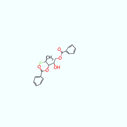 C[C@H](F)[C@H](OC(=O)c1ccccc1)[C@H](O)COC(=O)c1ccccc1